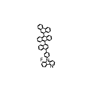 Fc1cccc2c3ncccc3n(-c3ccc(-c4ccc(-c5c6ccccc6c(-c6cc7ccccc7c7ccccc67)c6ccccc56)c5ccccc45)cc3)c12